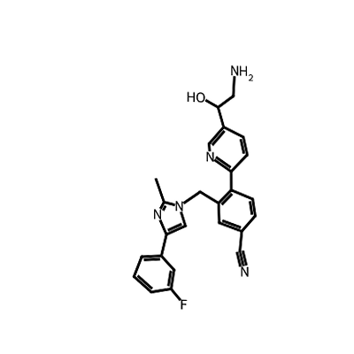 Cc1nc(-c2cccc(F)c2)cn1Cc1cc(C#N)ccc1-c1ccc(C(O)CN)cn1